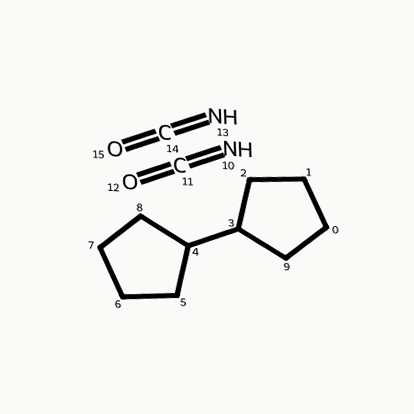 C1CCC(C2CCCC2)C1.N=C=O.N=C=O